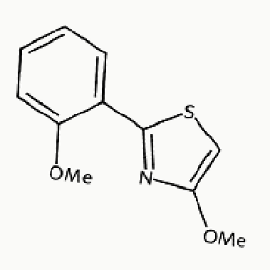 COc1csc(-c2ccccc2OC)n1